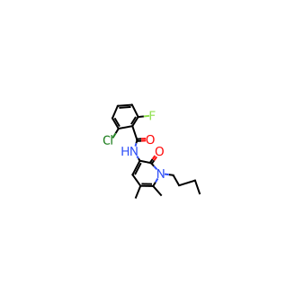 CCCCn1c(C)c(C)cc(NC(=O)c2c(F)cccc2Cl)c1=O